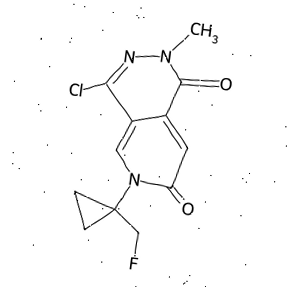 Cn1nc(Cl)c2cn(C3(CF)CC3)c(=O)cc2c1=O